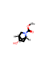 CC(C)(C)OC(=O)N1C[C@@H]2C[C@H]1C[C@@H]2O